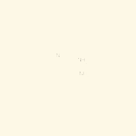 NN.c1ccncc1